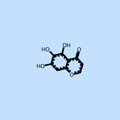 O=c1ccoc2cc(O)c(O)c(O)c12